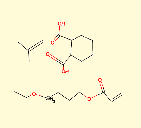 C=C(C)C.C=CC(=O)OCCC[SiH2]OCC.O=C(O)C1CCCCC1C(=O)O